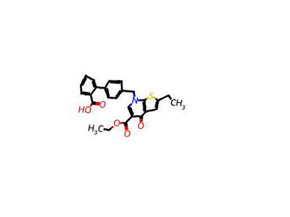 CCOC(=O)c1cn(Cc2ccc(-c3ccccc3C(=O)O)cc2)c2sc(CC)cc2c1=O